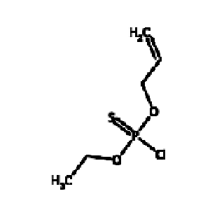 C=CCOP(=S)(Cl)OCC